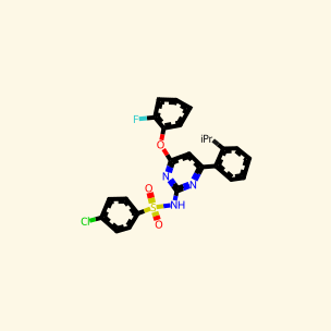 CC(C)c1ccccc1-c1cc(Oc2ccccc2F)nc(NS(=O)(=O)c2ccc(Cl)cc2)n1